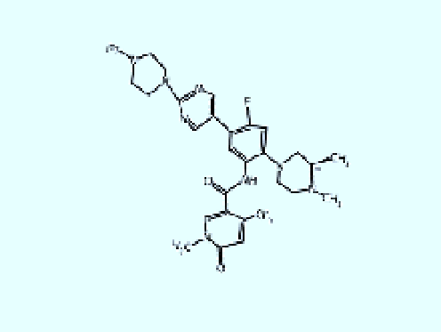 CC(C)N1CCN(c2ncc(-c3cc(NC(=O)c4cn(C)c(=O)cc4C(F)(F)F)c(N4CCN(C)[C@H](C)C4)cc3F)cn2)CC1